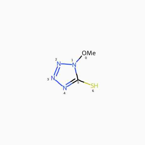 COn1nnnc1S